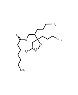 CCCCCCC(=O)SCC(CCCC)C(CCC)(CCCC)O[SiH3]